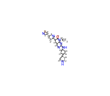 Cc1cc(-c2cnsc2)cnc1-c1cc2cnc(Nc3ccc(C4=CCNCC4)cc3)nc2n(CC(F)(F)F)c1=O